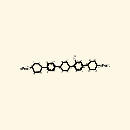 CCCCCC1CCC(c2ccc(C3CCC(c4ccc(C5CCC(CCCCC)CC5)cc4F)CC3)cc2)CC1